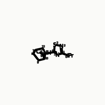 CC(C)c1nsc(C2CC3CCC2NC3)n1